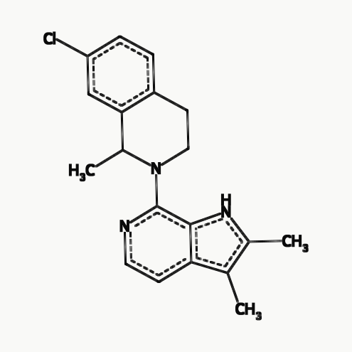 Cc1[nH]c2c(N3CCc4ccc(Cl)cc4C3C)nccc2c1C